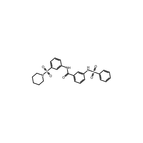 O=C(Nc1cccc(S(=O)(=O)N2CCCCC2)c1)c1cccc(NS(=O)(=O)c2ccccc2)c1